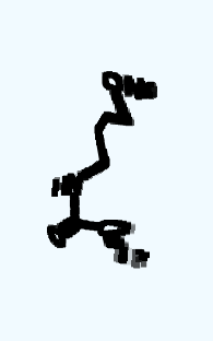 COCCCNC(=O)OC(C)C